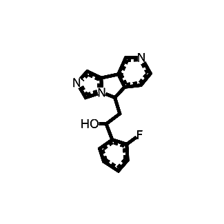 OC(CC1c2ccncc2-c2cncn21)c1ccccc1F